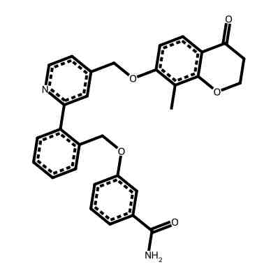 Cc1c(OCc2ccnc(-c3ccccc3COc3cccc(C(N)=O)c3)c2)ccc2c1OCCC2=O